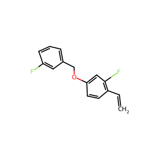 C=Cc1ccc(OCc2cccc(F)c2)cc1F